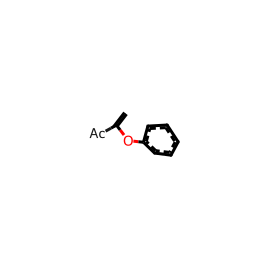 C=C(Oc1ccccc1)C(C)=O